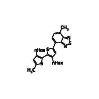 CCCCCCc1cc(C)sc1-c1sc(-c2ccc(C)c3nsnc23)cc1CCCCCC